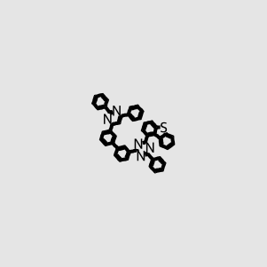 c1ccc(-c2cc(-c3cccc(-c4cccc(-c5nc(-c6ccccc6)nc(-c6cccc7sc8ccccc8c67)n5)c4)c3)nc(-c3ccccc3)n2)cc1